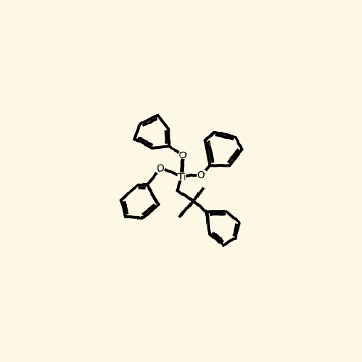 CC(C)([CH2][Ti]([O]c1ccccc1)([O]c1ccccc1)[O]c1ccccc1)c1ccccc1